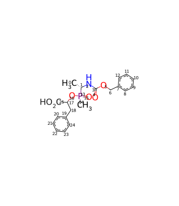 C[C@H](NC(=O)OCc1ccccc1)P(C)(=O)OC(Cc1ccccc1)C(=O)O